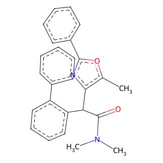 Cc1oc(-c2ccccc2)nc1C(C(=O)N(C)C)c1ccccc1-c1ccccc1